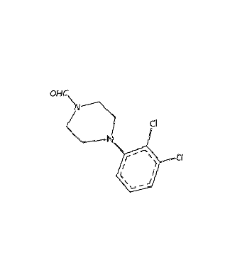 O=CN1CCN(c2cccc(Cl)c2Cl)CC1